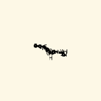 O=S(=O)(Nc1ccc(CCNCC(O)c2cccnc2)cc1)c1ccc(-c2nc(-c3ccc(-c4ccccc4)cc3)cs2)cc1